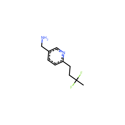 CC(F)(F)CCc1ccc(CN)cn1